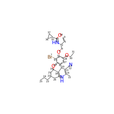 C=CC(COc1c(Br)cc(C2C(C#N)=C(C)NC3=C2C(=O)CC(CCC)C3)cc1OCC)NC(=O)C1CC1